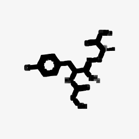 COC(=O)[C@H](C)ON=C(N)C(Cc1ccc(Cl)cc1)NC(=O)OC(C)(C)C